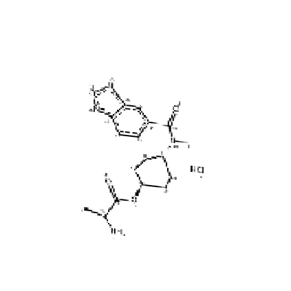 C[C@H](N)C(=O)O[C@H]1CC[C@H](N(C)C(=O)c2ccc3nonc3c2)CC1.Cl